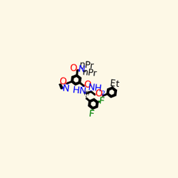 CCCN(CCC)C(=O)c1cc(C(=O)N[C@@H](Cc2cc(F)cc(F)c2)C(N)COCc2cccc(CC)c2)cc(-c2ncco2)c1